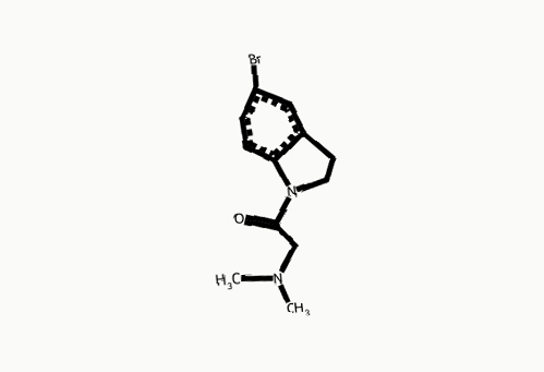 CN(C)CC(=O)N1CCc2cc(Br)ccc21